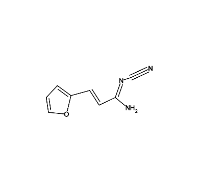 N#CN=C(N)C=Cc1ccco1